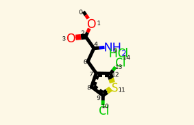 COC(=O)C(N)Cc1cc(Cl)sc1Cl.Cl